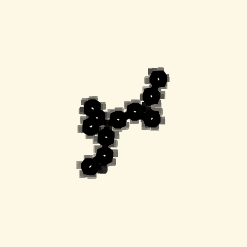 c1ccc(-c2ccc(-n3c4ccccc4c4cc(-c5ccc(N(c6ccc(-c7ccc8oc9ccccc9c8c7)cc6)c6cc7ccccc7c7ccccc67)cc5)ccc43)cc2)cc1